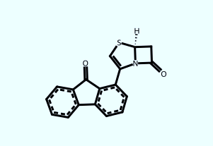 O=C1c2ccccc2-c2cccc(C3=CS[C@H]4CC(=O)N34)c21